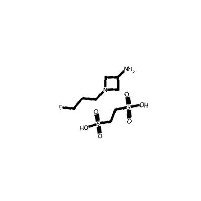 NC1CN(CCCF)C1.O=S(=O)(O)CCS(=O)(=O)O